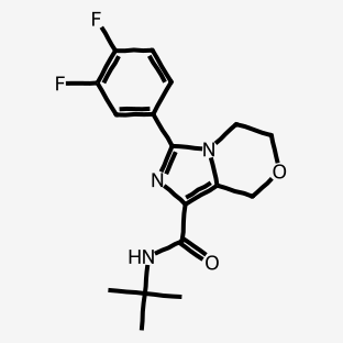 CC(C)(C)NC(=O)c1nc(-c2ccc(F)c(F)c2)n2c1COCC2